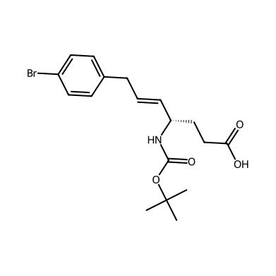 CC(C)(C)OC(=O)N[C@H](/C=C/Cc1ccc(Br)cc1)CCC(=O)O